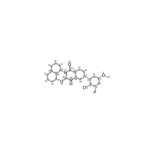 COc1cc(F)c(Cl)c(-c2ccc3c(=O)n(-c4cccc5ccccc45)c(=O)[nH]c3c2)c1